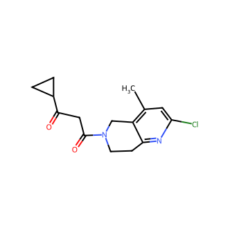 Cc1cc(Cl)nc2c1CN(C(=O)CC(=O)C1CC1)CC2